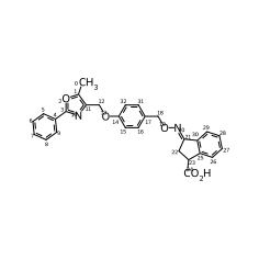 Cc1oc(-c2ccccc2)nc1COc1ccc(CON=C2CC(C(=O)O)c3ccccc32)cc1